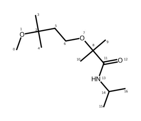 COC(C)(C)CCOC(C)(C)C(=O)NC(C)C